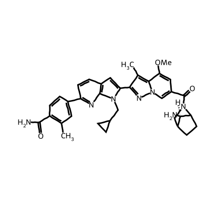 COc1cc(C(=O)N2CC3CCC2[C@@H]3N)cn2nc(-c3cc4ccc(-c5ccc(C(N)=O)c(C)c5)nc4n3CC3CC3)c(C)c12